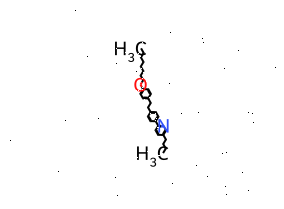 CCCCCCCCOc1ccc(CCc2ccc(-c3ccc(CCCC)cn3)cc2)cc1